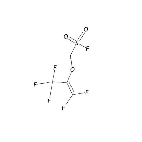 O=S(=O)(F)COC(=C(F)F)C(F)(F)F